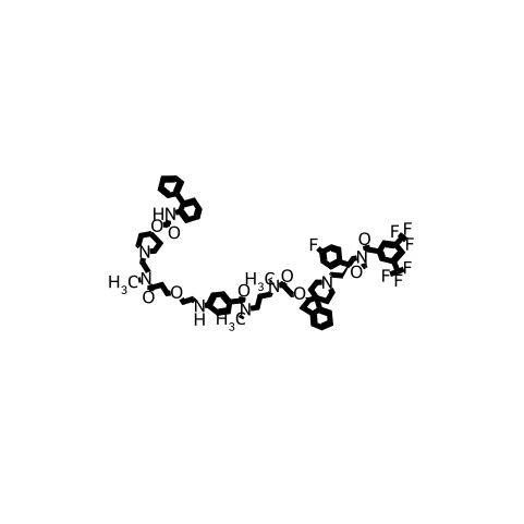 CN(CCN1CCC(OC(=O)Nc2ccccc2-c2ccccc2)CC1)C(=O)CCOCCNc1ccc(C(=O)N(C)CCCN(C)C(=O)CO[C@H]2Cc3ccccc3C23CCN(CC[C@@]2(c4ccc(F)cc4)CN(C(=O)c4cc(C(F)(F)F)cc(C(F)(F)F)c4)CO2)CC3)cc1